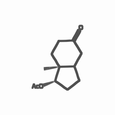 CC(=O)O[C@H]1CCC2CC(=O)CC[C@@]21C